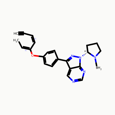 BN1CCC[C@H]1n1nc(-c2ccc(OC(/C=C\C#C)=C/C)cc2)c2cncnc21